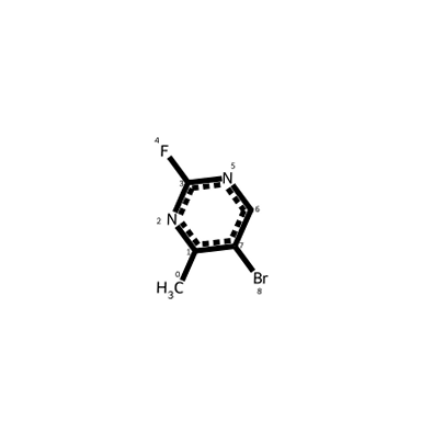 Cc1nc(F)n[c]c1Br